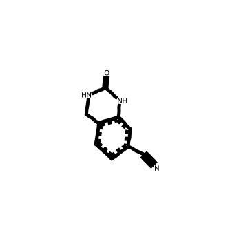 N#Cc1ccc2c(c1)NC(=O)NC2